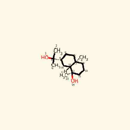 CC(C)(O)[C@@H]1CC[C@@]2(C)CCC[C@@](C)(O)[C@@H]2C1